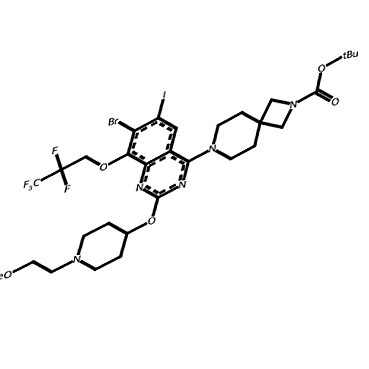 COCCN1CCC(Oc2nc(N3CCC4(CC3)CN(C(=O)OC(C)(C)C)C4)c3cc(I)c(Br)c(OCC(F)(F)C(F)(F)F)c3n2)CC1